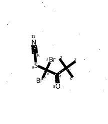 CC(C)(C)C(=O)C(Br)(Br)SC#N